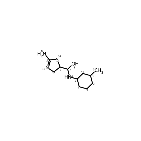 CC1CCCC(NC(O)C2CN=C(N)S2)C1